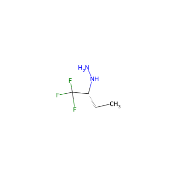 CC[C@@H](NN)C(F)(F)F